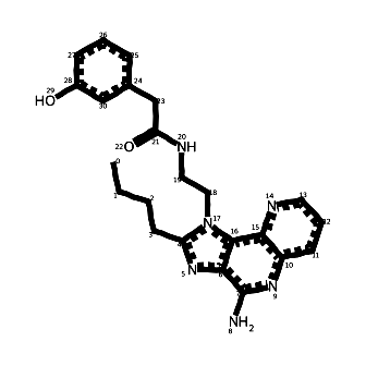 CCCCc1nc2c(N)nc3cccnc3c2n1CCNC(=O)Cc1cccc(O)c1